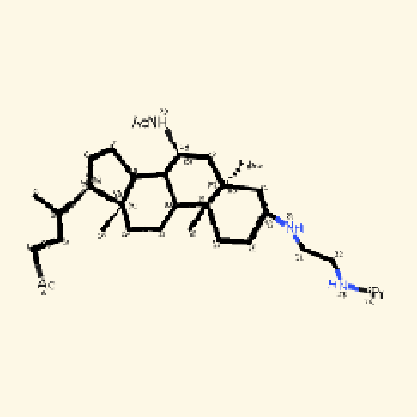 CC(=O)CCC(C)[C@H]1CCC2C3C(CC[C@@]21C)C1(C)CCC(NCCNC(C)C)C[C@@H]1C[C@@H]3NC(C)=O